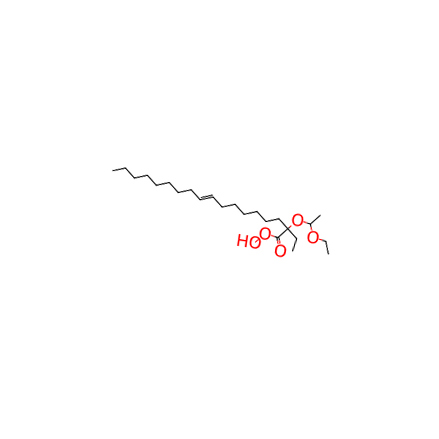 CCCCCCCCC=CCCCCCCC(CC)(OC(C)OCC)C(=O)OO